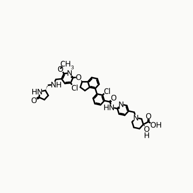 COc1nc(O[C@H]2CCc3c(-c4cccc(C(=O)Nc5ccc(CN6CCC[C@](O)(C(=O)O)C6)cn5)c4Cl)cccc32)c(Cl)cc1CNC[C@@H]1CCC(=O)N1